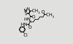 CC(=O)CCCCC[C@H](NC(=O)c1snnc1C)C(=O)Nc1cccc(Cl)c1